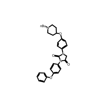 CCCCN1CCC(Oc2ccc(N3CC(=O)N(c4ccc(Oc5ccccc5)cc4)C3=O)cc2)CC1